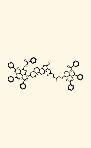 C[C@@H](CCC(=O)[C@@H](C)C1C(=O)CC2C3CCC4CC(O[C@@H]5OC(COC(=O)c6ccccc6)[C@H](OC(=O)c6ccccc6)C(OC(=O)c6ccccc6)C5OC(=O)c5ccccc5)CCC4(C)C3CCC21C)CO[C@@H]1OC[C@@H](OC(=O)c2ccccc2)C(OC(=O)c2ccccc2)C1OC(=O)c1ccccc1